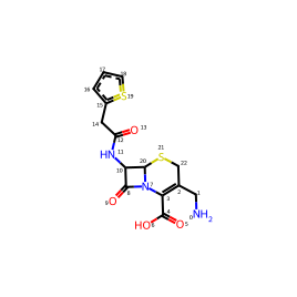 NCC1=C(C(=O)O)N2C(=O)C(NC(=O)Cc3cccs3)C2SC1